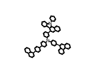 c1ccc(-n2c3ccccc3c3c(-c4cccc(N(c5ccc(-c6ccc(-c7cccc8ccccc78)cc6)cc5)c5ccc(-c6cc7ccccc7c7ccccc67)cc5)c4)cc4ccccc4c32)cc1